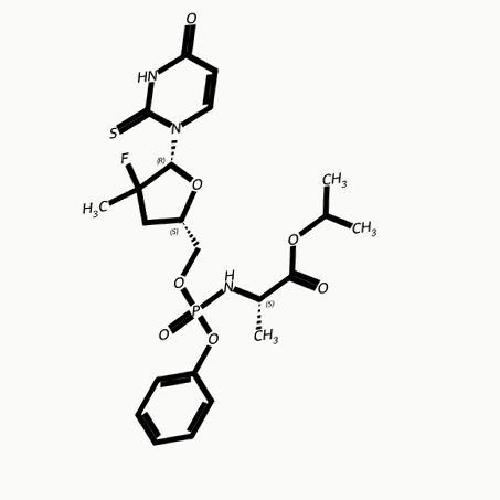 CC(C)OC(=O)[C@H](C)NP(=O)(OC[C@@H]1CC(C)(F)[C@H](n2ccc(=O)[nH]c2=S)O1)Oc1ccccc1